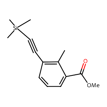 COC(=O)c1cccc(C#C[Si](C)(C)C)c1C